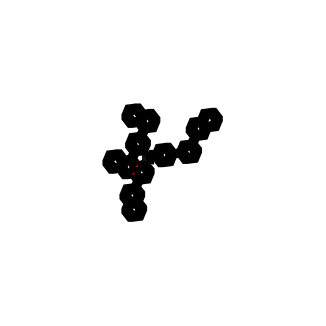 c1cc(-c2ccc(N(c3ccc(-c4ccc5ccccc5c4)cc3)c3cc(-c4cccc5ccccc45)ccc3-c3cccc4ccccc34)cc2)cc(-c2ccc3ccccc3c2)c1